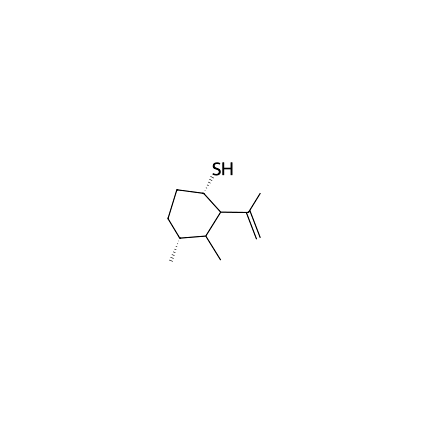 C=C(C)C1C(C)[C@H](C)CC[C@@H]1S